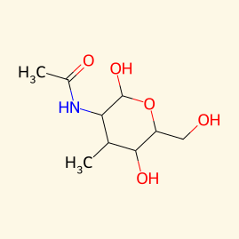 CC(=O)NC1C(O)OC(CO)C(O)C1C